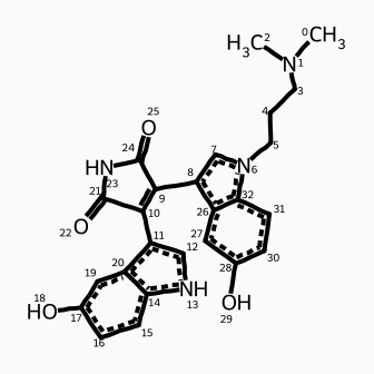 CN(C)CCCn1cc(C2=C(c3c[nH]c4ccc(O)cc34)C(=O)NC2=O)c2cc(O)ccc21